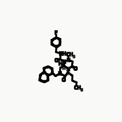 CCCC[C@H]1C(=O)N(Cc2cccc3ccccc23)C[C@H]2N1C(=O)CN(C)N2C(=O)NCc1ccc(F)cc1